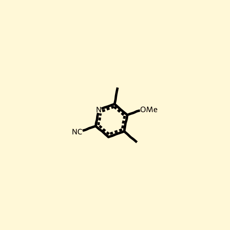 COc1c(C)cc(C#N)nc1C